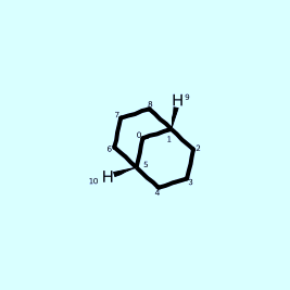 [CH]1[C@H]2CCC[C@@H]1CCC2